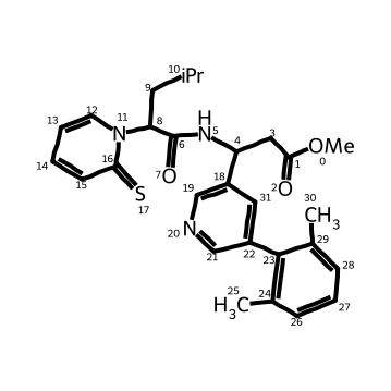 COC(=O)CC(NC(=O)C(CC(C)C)n1ccccc1=S)c1cncc(-c2c(C)cccc2C)c1